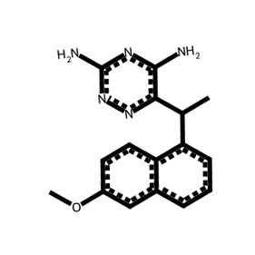 COc1ccc2c(C(C)c3nnc(N)nc3N)cccc2c1